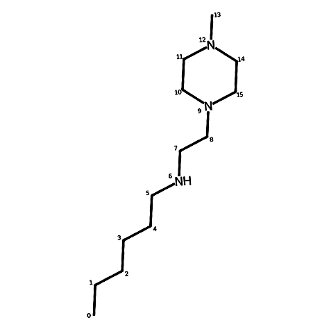 CCCCCCNCCN1CCN(C)CC1